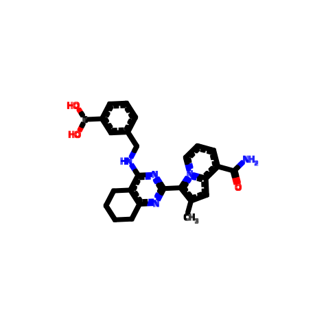 Cc1cc2c(C(N)=O)cccn2c1-c1nc2c(c(NCc3cccc(B(O)O)c3)n1)CCCC2